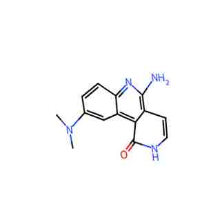 CN(C)c1ccc2nc(N)c3cc[nH]c(=O)c3c2c1